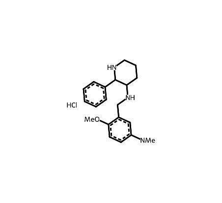 CNc1ccc(OC)c(CNC2CCCNC2c2ccccc2)c1.Cl